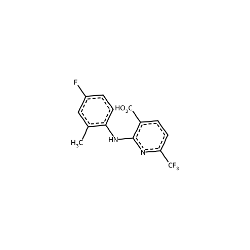 Cc1cc(F)ccc1Nc1nc(C(F)(F)F)ccc1C(=O)O